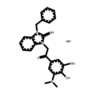 Br.CN(C)c1cc(C(=O)Cn2c(=N)n(Cc3ccccc3)c3ccccc32)cc(C(C)(C)C)c1O